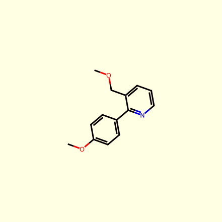 COCc1cccnc1-c1ccc(OC)cc1